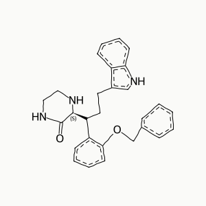 O=C1NCCN[C@H]1C(CCc1c[nH]c2ccccc12)c1ccccc1OCc1ccccc1